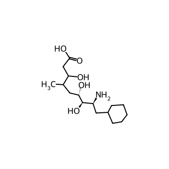 CC(C[C@H](O)[C@H](O)[C@@H](N)CC1CCCCC1)C(O)CC(=O)O